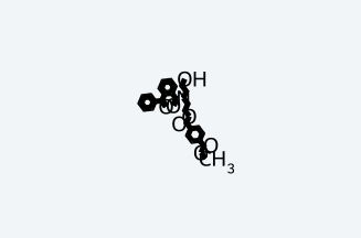 COC(=O)C1CCC(C(=O)OCCN(CCO)C(=O)c2ccccc2C(=O)c2ccccc2)CC1